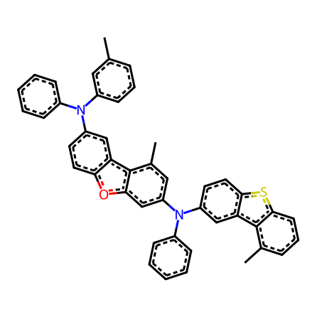 Cc1cccc(N(c2ccccc2)c2ccc3oc4cc(N(c5ccccc5)c5ccc6sc7cccc(C)c7c6c5)cc(C)c4c3c2)c1